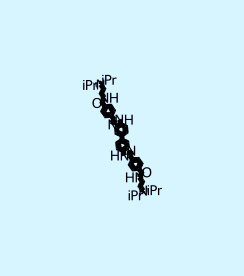 CC(C)N(CCNC(=O)c1ccc(-c2nc3cc(-c4ccc5[nH]c(-c6ccc(C(=O)NCCN(C(C)C)C(C)C)cc6)nc5c4)ccc3[nH]2)cc1)C(C)C